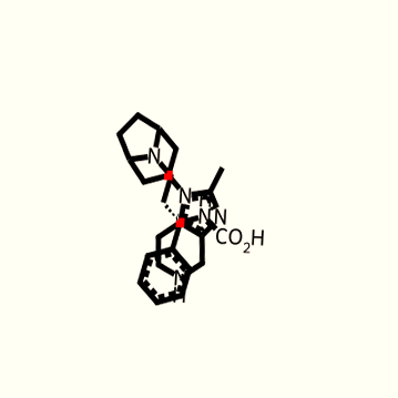 Cc1nc2c(n1C1CC3CCC(C1)N3CC[C@H](NC(=O)O)c1ccccc1)CCNC2